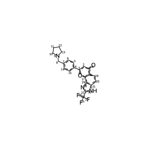 O=c1cc(-c2ccc(CN3CCCC3)cc2)oc2c1ccc1[nH]c(C(F)(F)F)nc12